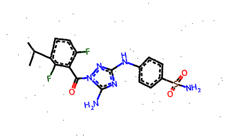 CC(C)c1ccc(F)c(C(=O)n2nc(Nc3ccc(S(N)(=O)=O)cc3)nc2N)c1F